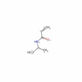 C=CC(=O)NC(C)S(=O)(=O)O